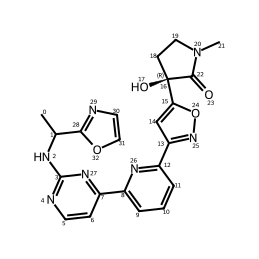 CC(Nc1nccc(-c2cccc(-c3cc([C@]4(O)CCN(C)C4=O)on3)n2)n1)c1ncco1